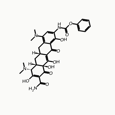 CN(C)c1cc(NC(=O)Oc2ccccc2)c(O)c2c1C[C@H]1C[C@H]3[C@@H](N(C)C)C(O)=C(C(N)=O)C(=O)[C@@]3(O)C(O)=C1C2=O